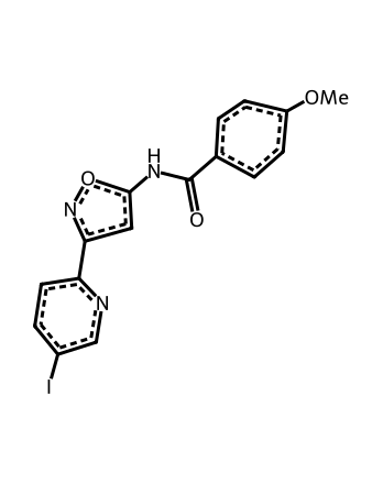 COc1ccc(C(=O)Nc2cc(-c3ccc(I)cn3)no2)cc1